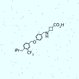 CC(C)Cc1ccc(COc2ccc(CNC3CC(C(=O)O)C3)cc2)cc1C(F)(F)F